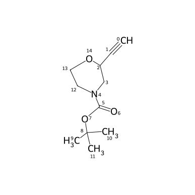 C#CC1CN(C(=O)OC(C)(C)C)CCO1